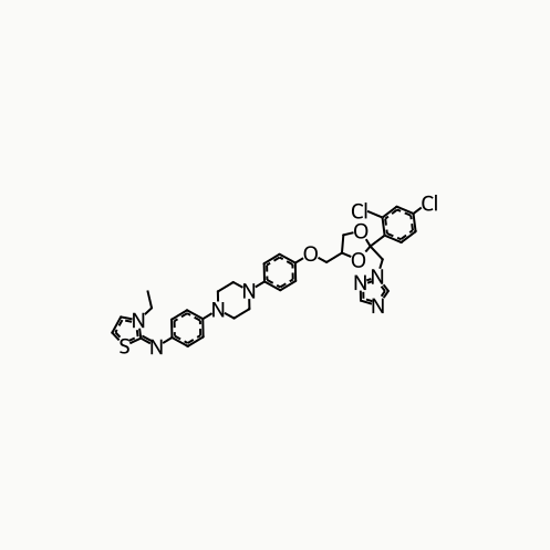 CCn1ccsc1=Nc1ccc(N2CCN(c3ccc(OCC4COC(Cn5cncn5)(c5ccc(Cl)cc5Cl)O4)cc3)CC2)cc1